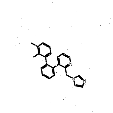 Cc1cccc(-c2ccccc2-c2cccnc2Cn2ccnc2)c1C